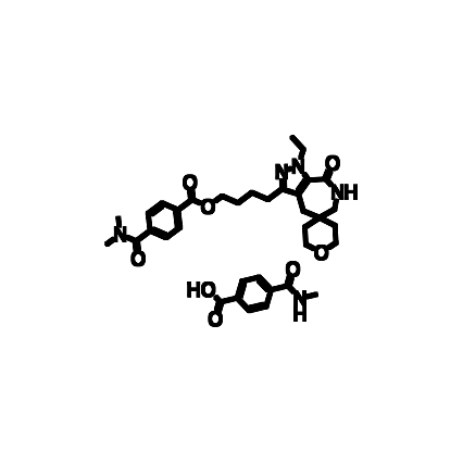 CCn1nc(CCCCOC(=O)c2ccc(C(=O)N(C)C)cc2)c2c1C(=O)NCC1(CCOCC1)C2.CNC(=O)c1ccc(C(=O)O)cc1